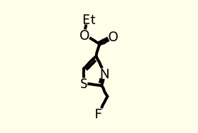 CCOC(=O)c1csc(CF)n1